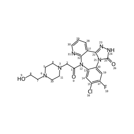 O=C(CN1CCN(CCO)CC1)N1c2cc(Cl)c(F)cc2-n2c(n[nH]c2=O)-c2cccnc21